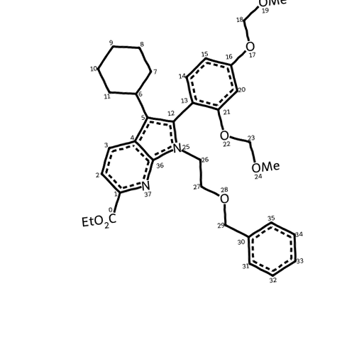 CCOC(=O)c1ccc2c(C3CCCCC3)c(-c3ccc(OCOC)cc3OCOC)n(CCOCc3ccccc3)c2n1